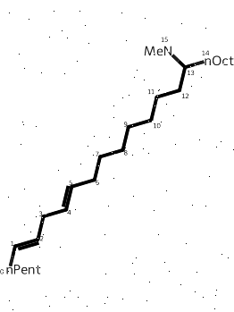 CCCCCC=CCC=CCCCCCCCC(CCCCCCCC)NC